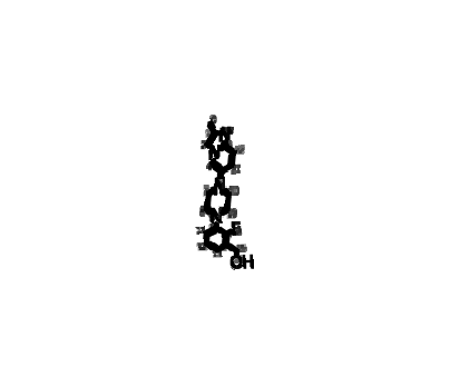 Cc1cn2cc(N3CCN(c4cccc(CO)c4F)CC3)ccc2n1